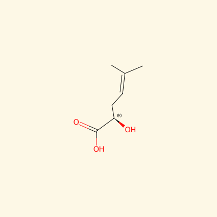 CC(C)=CC[C@@H](O)C(=O)O